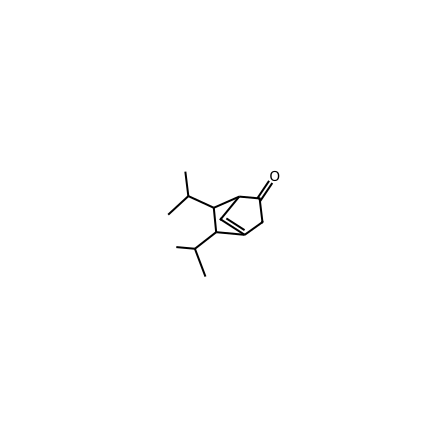 CC(C)C1C2=CC(C(=O)C2)C1C(C)C